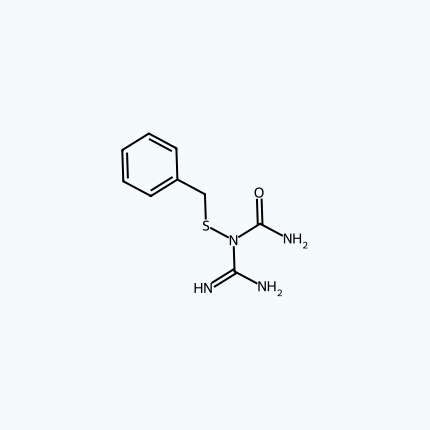 N=C(N)N(SCc1ccccc1)C(N)=O